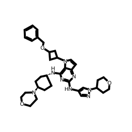 c1ccc(COC2CC(n3ccc4nc(Nc5cnn(C6CCOCC6)c5)nc(N[C@H]5CC[C@H](N6CCOCC6)CC5)c43)C2)cc1